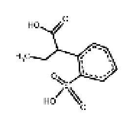 CCC(C(=O)O)c1ccccc1S(=O)(=O)O